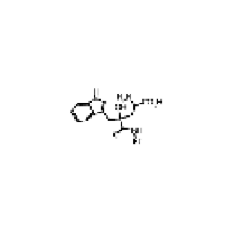 CCNC(=O)C(O)(Cc1c[nH]c2ccccc12)CC(N)C(=O)O